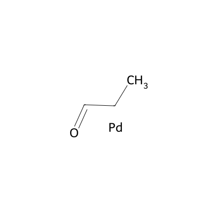 CCC=O.[Pd]